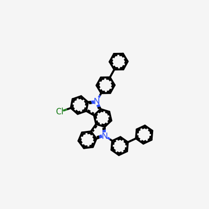 Clc1ccc2c(c1)c1c3c4ccccc4n(-c4cccc(-c5ccccc5)c4)c3ccc1n2-c1ccc(-c2ccccc2)cc1